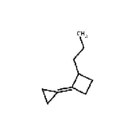 CCCC1CCC1=C1CC1